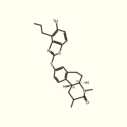 [3H]c1ccc2sc(Sc3ccc4c(c3)CC[C@@H]3[C@@H]4CC(C)C(=O)N3C)nc2c1CCC